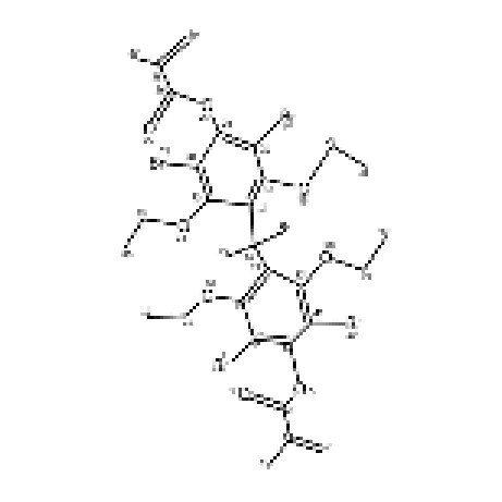 C=C(C)C(=O)Oc1c(Br)c(OCC)c(C(C)(C)c2c(OCC)c(Br)c(OC(=O)C(=C)C)c(Br)c2OCC)c(OCC)c1Br